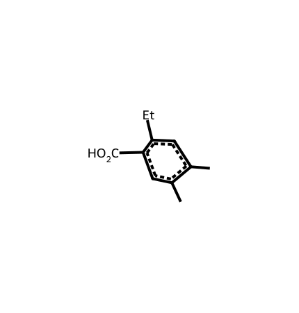 CCc1cc(C)c(C)cc1C(=O)O